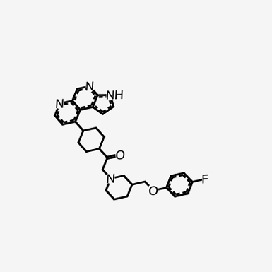 O=C(CN1CCCC(COc2ccc(F)cc2)C1)C1CCC(c2ccnc3cnc4[nH]ccc4c23)CC1